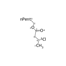 CCCCCCOC(=O)CC(C)Cl